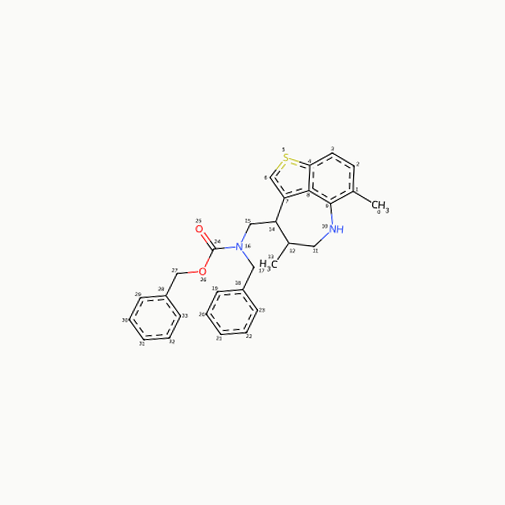 Cc1ccc2scc3c2c1NCC(C)C3CN(Cc1ccccc1)C(=O)OCc1ccccc1